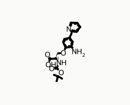 CC(C)(C)OC(=O)N[C@@H](COc1ccc(-c2ccccn2)cc1N)C(=O)O